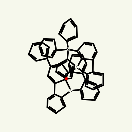 c1ccc(-c2cc(-n3c4ccccc4c4cccc([Si](c5ccccc5)(c5ccccc5)c5ccccc5)c43)c3c(c2)c2ccccc2n3-c2ccccc2-c2ccccc2)cc1